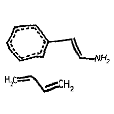 C=CC=C.NC=Cc1ccccc1